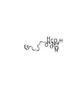 CC/C=C\C/C=C\C/C=C\C/C=C\C/C=C\C/C=C\CCC(=O)NCC(NC(=O)c1cccnc1)C(=O)O